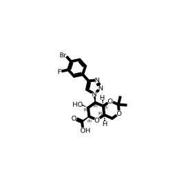 CC1(C)OC[C@H]2O[C@@H](C(=O)O)[C@H](O)[C@@H](n3cc(-c4ccc(Br)c(F)c4)nn3)[C@H]2O1